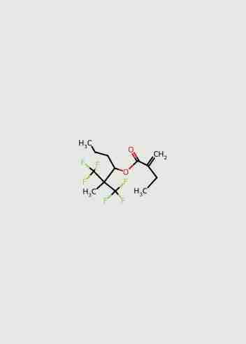 C=C(CC)C(=O)OC(CCC)C(C)(C(F)(F)F)C(F)(F)F